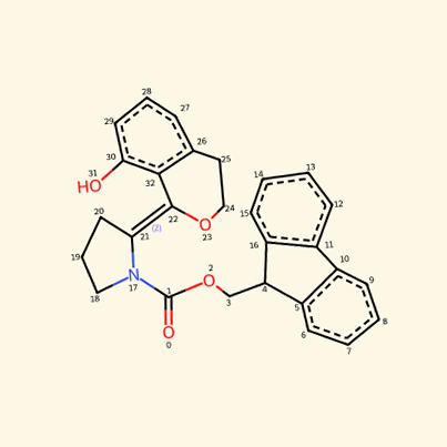 O=C(OCC1c2ccccc2-c2ccccc21)N1CCC/C1=C1/OCCc2cccc(O)c21